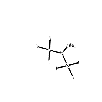 CCCCN(S(I)(I)I)S(I)(I)I